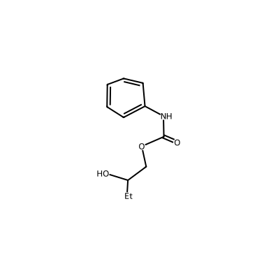 CCC(O)COC(=O)Nc1ccccc1